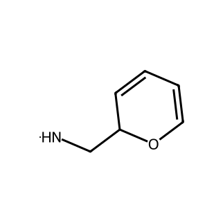 [NH]CC1C=CC=CO1